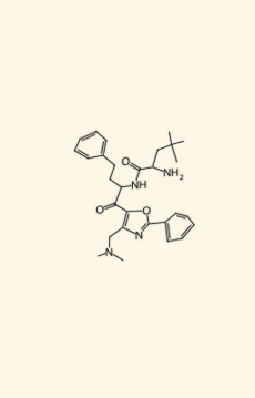 CN(C)Cc1nc(-c2ccccc2)oc1C(=O)C(CCc1ccccc1)NC(=O)C(N)CC(C)(C)C